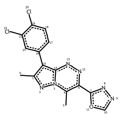 Cc1nn2c(C)c(-c3nnco3)nnc2c1-c1ccc(Cl)c(Cl)c1